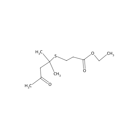 CCOC(=O)CCSC(C)(C)CC(C)=O